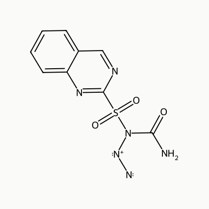 [N][N+]N(C(N)=O)S(=O)(=O)c1ncc2ccccc2n1